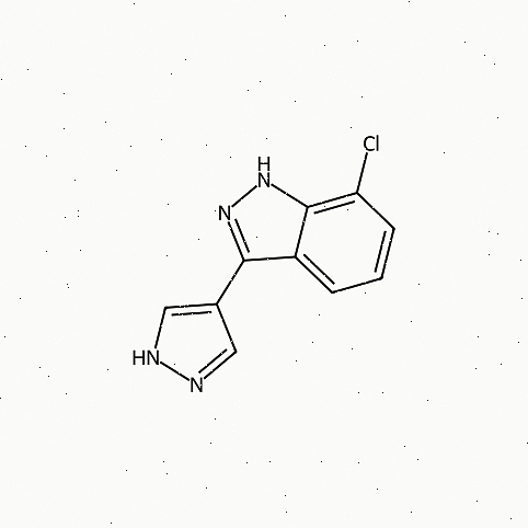 Clc1cccc2c(-c3cn[nH]c3)n[nH]c12